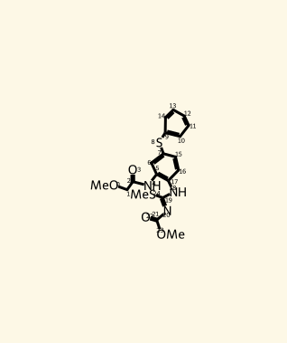 COCC(=O)Nc1cc(Sc2ccccc2)ccc1N/C(=N/C(=O)OC)SC